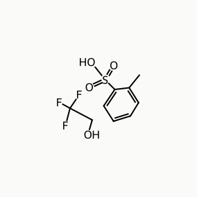 Cc1ccccc1S(=O)(=O)O.OCC(F)(F)F